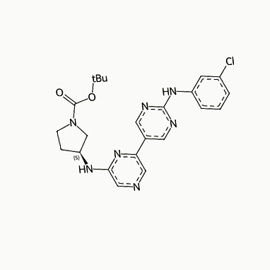 CC(C)(C)OC(=O)N1CC[C@H](Nc2cncc(-c3cnc(Nc4cccc(Cl)c4)nc3)n2)C1